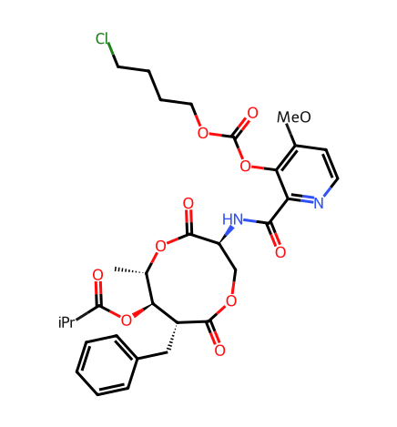 COc1ccnc(C(=O)N[C@H]2COC(=O)[C@H](Cc3ccccc3)[C@@H](OC(=O)C(C)C)[C@H](C)OC2=O)c1OC(=O)OCCCCCl